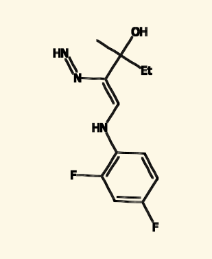 CCC(C)(O)/C(=C/Nc1ccc(F)cc1F)N=N